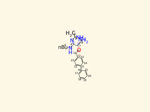 C=C(N)/N=C(NCCCC)\C(=C/N)OCc1ccc(-c2ccccc2)cc1